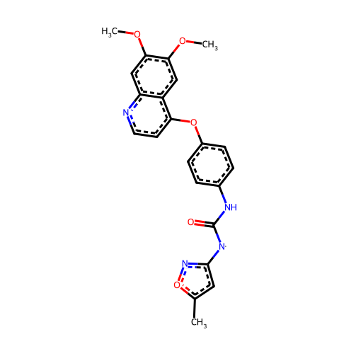 COc1cc2nccc(Oc3ccc(NC(=O)[N]c4cc(C)on4)cc3)c2cc1OC